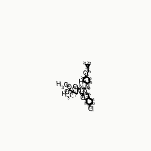 COC(=O)C(C)(C)Cn1c(=O)[nH]/c(=N\c2ccc(OCC3CC3)cc2)n(Cc2ccc(Cl)cc2)c1=O